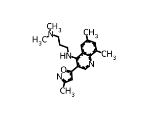 Cc1cc(C)c2ncc(-c3cc(C)no3)c(NCCCN(C)C)c2c1